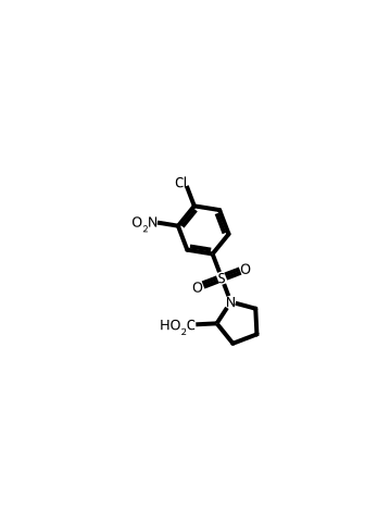 O=C(O)C1CCCN1S(=O)(=O)c1ccc(Cl)c([N+](=O)[O-])c1